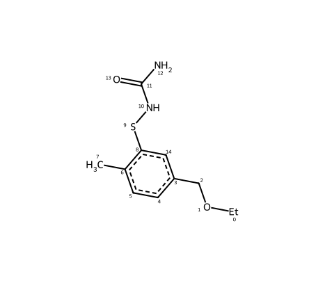 CCOCc1ccc(C)c(SNC(N)=O)c1